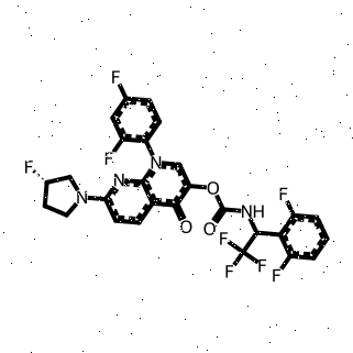 O=C(NC(c1c(F)cccc1F)C(F)(F)F)Oc1cn(-c2ccc(F)cc2F)c2nc(N3CC[C@H](F)C3)ccc2c1=O